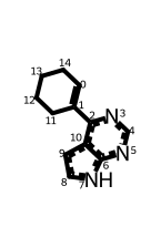 C1=C(c2ncnc3[nH]ccc23)CCCC1